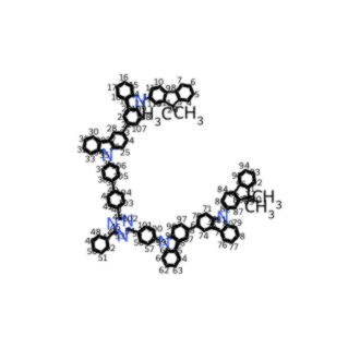 CC1(C)c2ccccc2-c2ccc(-n3c4ccccc4c4cc(-c5ccc6c(c5)c5ccccc5n6-c5ccc(-c6ccc(-c7nc(-c8ccccc8)nc(-c8ccc(-n9c%10ccccc%10c%10cc(-c%11ccc%12c(c%11)c%11ccccc%11n%12-c%11ccc%12c(c%11)C(C)(C)c%11ccccc%11-%12)ccc%109)cc8)n7)cc6)cc5)ccc43)cc21